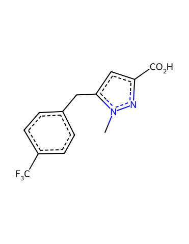 Cn1nc(C(=O)O)cc1Cc1ccc(C(F)(F)F)cc1